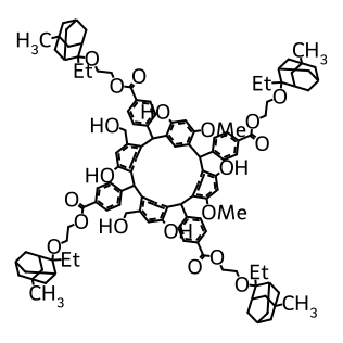 CCC1(OCCOC(=O)c2ccc(C3c4cc(c(OC)cc4O)C(c4ccc(C(=O)OCCOC5(CC)C6CC7CC5CC(C)(C7)C6)cc4)c4cc(c(OC)cc4O)C(c4ccc(C(=O)OCCOC5(CC)C6CC7CC5CC(C)(C7)C6)cc4)c4cc(c(CO)cc4O)C(c4ccc(C(=O)OCCOC5(CC)C6CC7CC5CC(C)(C7)C6)cc4)c4cc3c(CO)cc4O)cc2)C2CC3CC1CC(C)(C3)C2